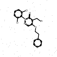 CC(C)Cc1c(OCCc2ccccc2)cnn(-c2c(Cl)cccc2Cl)c1=O